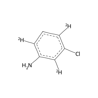 [2H]c1cc([2H])c(Cl)c([2H])c1N